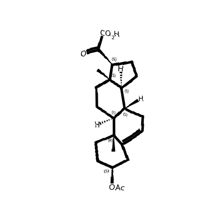 CC(=O)O[C@H]1CC[C@@]2(C)C(=CC[C@H]3[C@@H]4CC[C@H](C(=O)C(=O)O)[C@@]4(C)CC[C@@H]32)C1